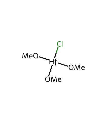 C[O][Hf]([Cl])([O]C)[O]C